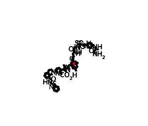 Cc1c(-c2ccc(N3CCc4cccc(C(=O)Nc5nc6ccccc6s5)c4C3)nc2C(=O)O)cnn1CC12CC3(C)CC(C)(C1)CC(OCCNC(=O)[C@H](CS(=O)(=O)O)NC(=O)OCc1ccc(N[C@@H](C)C(N)=O)cc1)(C3)C2